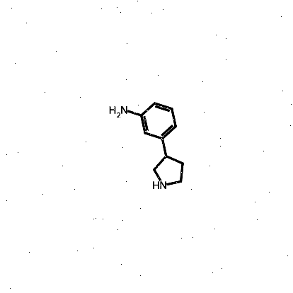 Nc1cccc(C2CCNC2)c1